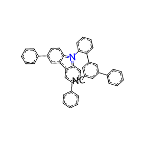 N#Cc1cc(-c2ccccc2)cc(-c2ccccc2-n2c3ccc(-c4ccccc4)cc3c3cc(-c4ccccc4)ccc32)c1